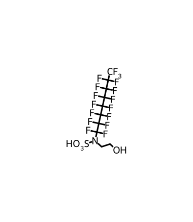 O=S(=O)(O)N(CCO)C(F)(F)C(F)(F)C(F)(F)C(F)(F)C(F)(F)C(F)(F)C(F)(F)C(F)(F)F